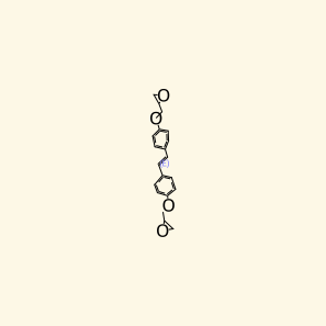 C(=C\c1ccc(OCC2CO2)cc1)/c1ccc(OCC2CO2)cc1